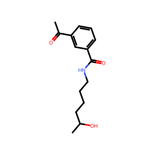 CC(=O)c1cccc(C(=O)NCCCCC(C)O)c1